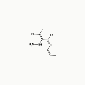 C\C=C/N=C(CC)\C(NN)=C(/C)CC